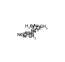 CC(=O)N(C)[C@H]1CN(C(=O)N[C@H](C)c2ccc(C#N)nc2)N=C1c1ccc(C)cc1